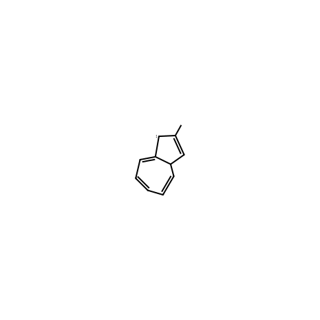 CC1=CC2C=CC=CC=C2[C]1